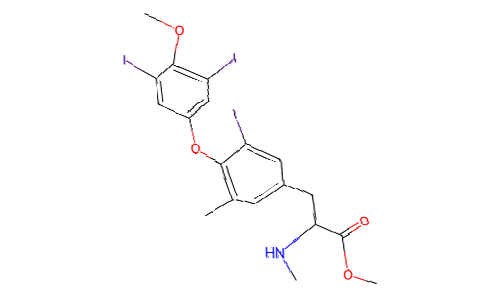 CNC(Cc1cc(C)c(Oc2cc(I)c(OC)c(I)c2)c(I)c1)C(=O)OC